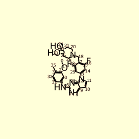 COc1cc(Nc2ncc3ccn(-c4cc(F)c(CN5CCS(O)(O)CC5)c(F)c4)c3n2)ccc1C